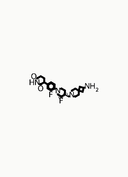 NC1CC2(CCN(C[C@@H]3CCN(c4ccc(C5CCC(=O)NC5=O)cc4F)C[C@@H]3F)CC2)C1